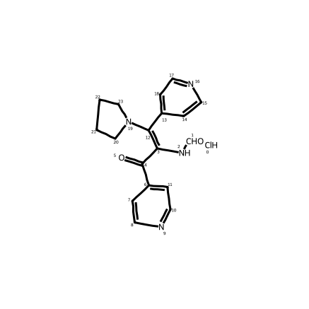 Cl.O=CNC(C(=O)c1ccncc1)=C(c1ccncc1)N1CCCC1